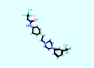 O=C(CC(F)(F)F)N[C@H]1CC[C@H](CCN2CCN(c3cccc(C(F)(F)F)c3)CC2)CC1